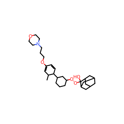 CC1C=C(OCCCN2CCOCC2)C=CC1C1CCCC(OOC2(O)C3CC4CC(C3)CC2C4)C1